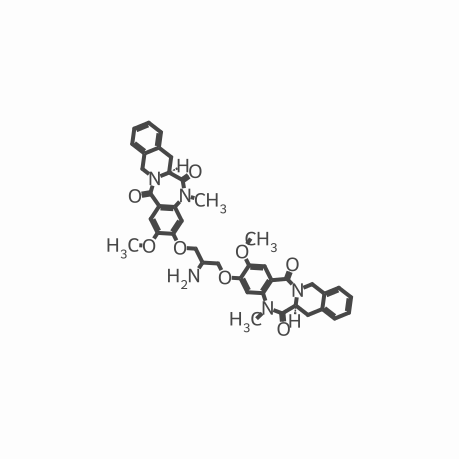 COc1cc2c(cc1OCC(N)COc1cc3c(cc1OC)C(=O)N1Cc4ccccc4C[C@H]1C(=O)N3C)N(C)C(=O)[C@@H]1Cc3ccccc3CN1C2=O